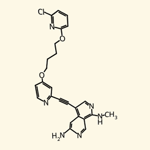 CNc1ncc(C#Cc2cc(OCCCCOc3cccc(Cl)n3)ccn2)c2cc(N)ncc12